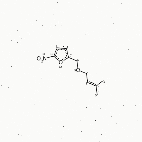 CC(C)=CCOCc1ccc([N+](=O)[O-])o1